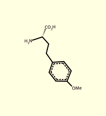 COc1ccc(CC[C@H](N)C(=O)O)cc1